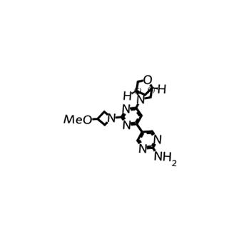 COC1CN(c2nc(-c3cnc(N)nc3)cc(N3C[C@@H]4C[C@H]3CO4)n2)C1